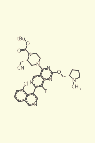 CN1CCC[C@H]1COc1nc(N2CCN(C(=O)OC(C)(C)C)[C@@H](CC#N)C2)c2cnc(-c3cncc4cccc(Cl)c34)c(F)c2n1